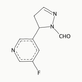 O=CN1N=CCC1c1cncc(F)c1